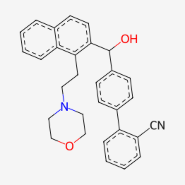 N#Cc1ccccc1-c1ccc(C(O)c2ccc3ccccc3c2CCN2CCOCC2)cc1